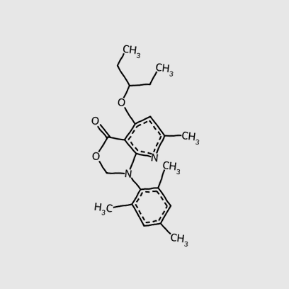 CCC(CC)Oc1cc(C)nc2c1C(=O)OCN2c1c(C)cc(C)cc1C